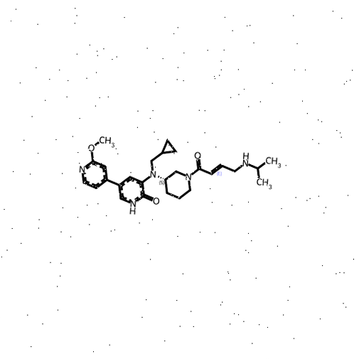 COc1cc(-c2c[nH]c(=O)c(N(CC3CC3)[C@H]3CCCN(C(=O)/C=C/CNC(C)C)C3)c2)ccn1